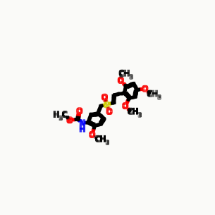 COC(=O)Nc1cc(CS(=O)(=O)/C=C/c2c(OC)cc(OC)cc2OC)ccc1OC